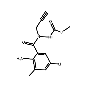 C#CCN(NC(=O)OC)C(=O)c1cc(Cl)cc(C)c1N